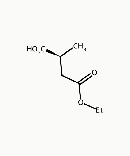 CCOC(=O)C[C@H](C)C(=O)O